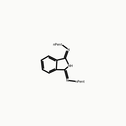 CCCCC/N=C1\N/C(=N/CCCCC)c2ccccc21